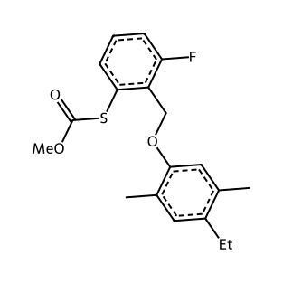 CCc1cc(C)c(OCc2c(F)cccc2SC(=O)OC)cc1C